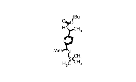 CSC(=NC[Si](C)(C)C)c1ccc(C(C)NC(=O)OC(C)(C)C)cc1